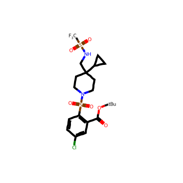 CC(C)(C)OC(=O)c1cc(Cl)ccc1S(=O)(=O)N1CCC(CNS(=O)(=O)C(F)(F)F)(C2CC2)CC1